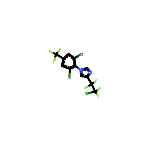 FC(F)(F)c1cc(Cl)c(-n2cnc(C(F)(F)C(F)(F)Cl)c2)c(Cl)c1